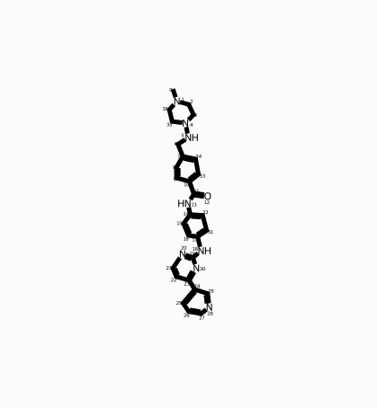 CN1CCN(NCc2ccc(C(=O)Nc3ccc(Nc4nccc(-c5cccnc5)n4)cc3)cc2)CC1